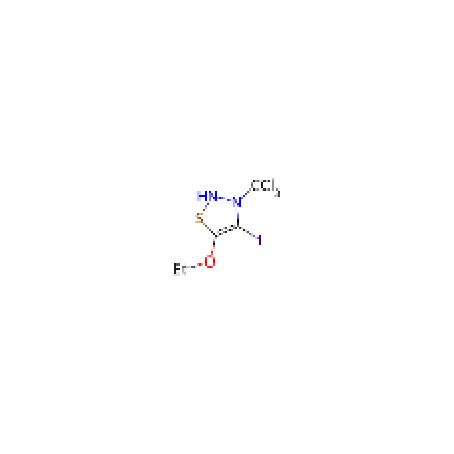 CCOC1=C(I)N(C(Cl)(Cl)Cl)NS1